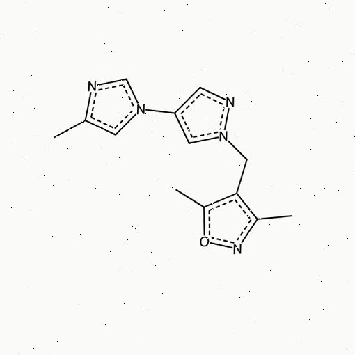 Cc1cn(-c2cnn(Cc3c(C)noc3C)c2)cn1